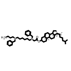 CC(C)CCC[C@@H](C)[C@H]1CCC2C3CC=C4CC(OC(=O)CN(CCCCCCN(CCCN)Cc5ccccc5)Cc5ccccc5)CC[C@]4(C)C3CC[C@@]21C